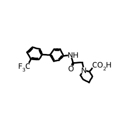 O=C(CN1CCCCC1C(=O)O)Nc1ccc(-c2cccc(C(F)(F)F)c2)cc1